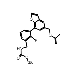 C=C(C)OCc1cc(-c2cccc(CNC(=O)OC(C)(C)C)c2F)c2occc2c1